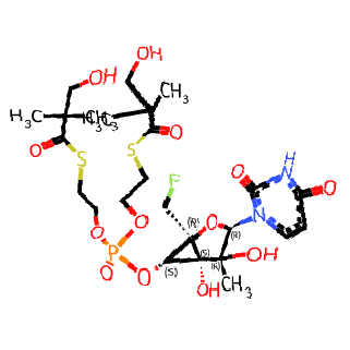 CC(C)(CO)C(=O)SCCOP(=O)(OCCSC(=O)C(C)(C)CO)O[C@H]1[C@]2(O)[C@@](C)(O)[C@H](n3ccc(=O)[nH]c3=O)O[C@]12CF